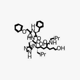 CC(C)CNC(=O)C(CCCO)C[C@H](O)[C@H](CC(C)C)NC(=O)[C@H](Cc1c[nH]cn1)NC(=O)[C@H](Cc1ccccc1)NC(=O)COc1ccccc1